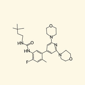 Cc1cc(F)c(NC(=O)NCCC(C)(C)C)cc1-c1cc(N2CCOCC2)nc(N2CCOCC2)c1